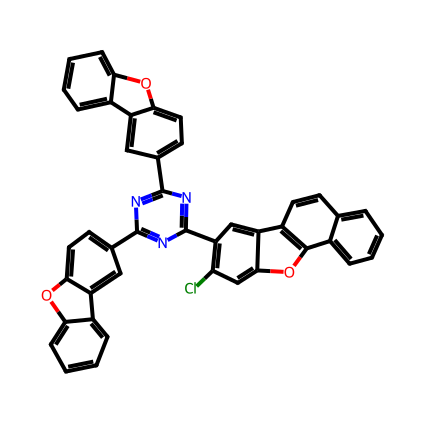 Clc1cc2oc3c4ccccc4ccc3c2cc1-c1nc(-c2ccc3oc4ccccc4c3c2)nc(-c2ccc3oc4ccccc4c3c2)n1